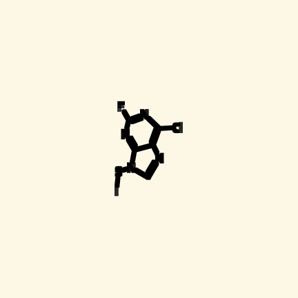 Fc1nc(Cl)c2ncn(SI)c2n1